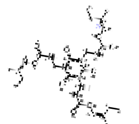 CCC(C)=NOC(=O)NCn1c(=O)n(CNC(=O)O/N=C(/C)CC)c(=O)n(NNC(=O)ON=C(C)CC)c1=O